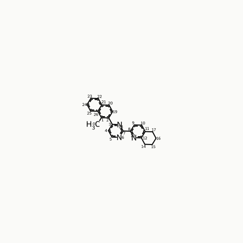 Cc1c(-c2ccnc(-c3ccc4c(n3)CCCC4)n2)ccc2ccccc12